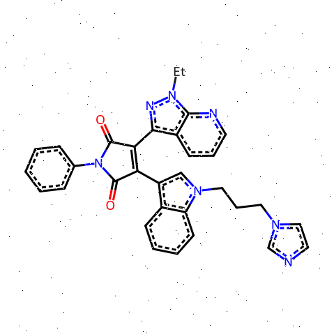 CCn1nc(C2=C(c3cn(CCCn4ccnc4)c4ccccc34)C(=O)N(c3ccccc3)C2=O)c2cccnc21